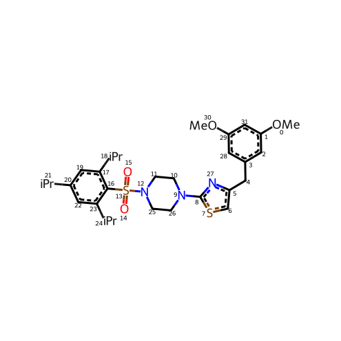 COc1cc(Cc2csc(N3CCN(S(=O)(=O)c4c(C(C)C)cc(C(C)C)cc4C(C)C)CC3)n2)cc(OC)c1